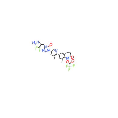 Cc1cc(-n2cnn(CC(CN)=C(F)F)c2=O)cnc1-c1cc(C)c2c(c1)CCC(=O)N2OC(=O)C(F)(F)F